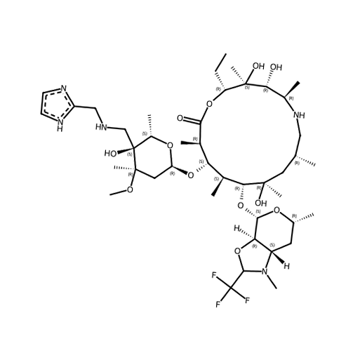 CC[C@H]1OC(=O)[C@H](C)[C@@H](O[C@H]2C[C@@](C)(OC)[C@](O)(CNCc3ncc[nH]3)[C@H](C)O2)[C@H](C)[C@@H](O[C@@H]2O[C@H](C)C[C@H]3[C@H]2OC(C(F)(F)F)N3C)[C@](C)(O)C[C@@H](C)CN[C@H](C)[C@@H](O)[C@]1(C)O